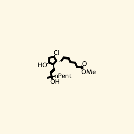 CCCCC[C@](C)(O)/C=C/[C@@H]1[C@@H](C/C=C\CCCC(=O)OC)[C@H](Cl)C[C@H]1O